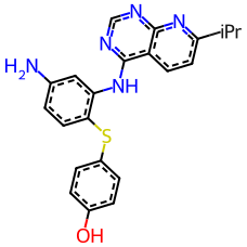 CC(C)c1ccc2c(Nc3cc(N)ccc3Sc3ccc(O)cc3)ncnc2n1